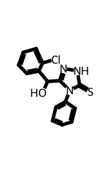 OC(c1ccccc1Cl)c1n[nH]c(=S)n1-c1ccccc1